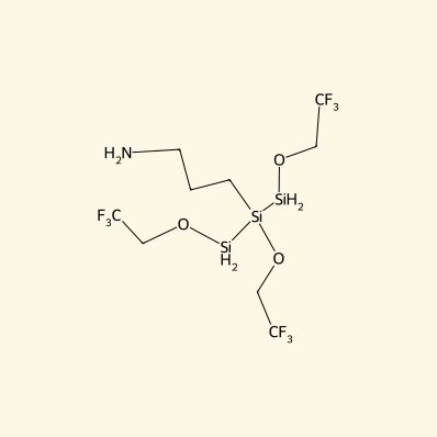 NCCC[Si](OCC(F)(F)F)([SiH2]OCC(F)(F)F)[SiH2]OCC(F)(F)F